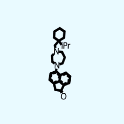 CC(C)C1(CN2CCCN(c3ccc4c5c(cccc35)C(=O)C4)CC2)CCCCC1